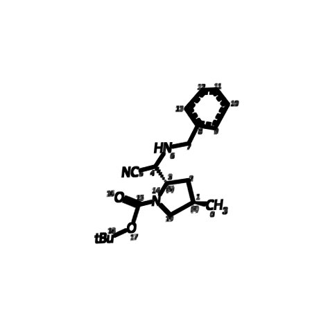 C[C@@H]1C[C@@H](C(C#N)NCc2ccccc2)N(C(=O)OC(C)(C)C)C1